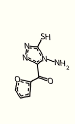 Nn1c(S)nnc1C(=O)c1ccco1